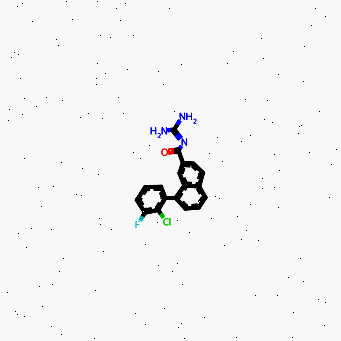 NC(N)=NC(=O)c1ccc2cccc(-c3cccc(F)c3Cl)c2c1